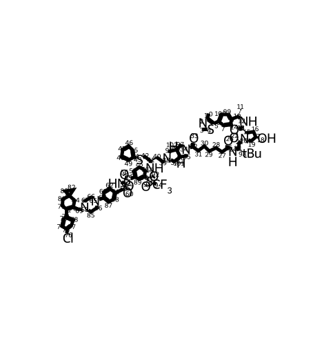 Cc1ncsc1-c1ccc([C@H](C)NC(=O)[C@@H]2C[C@@H](O)CN2C(=O)[C@@H](NC(=O)CCCCCC(=O)N2C[C@H]3CN(CC[C@H](CSc4ccccc4)NC4CC=C(S(=O)(=O)NC(=O)c5ccc(N6CCN(CC7=C(c8ccc(Cl)cc8)CCC8(CC8)C7)CC6)cc5)C=C4S(=O)(=O)C(F)(F)F)C[C@H]3C2)C(C)(C)C)cc1